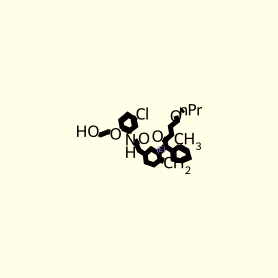 C=C1CCC(CC(=O)Nc2cc(Cl)ccc2OCCO)C/C1=C(\C(=O)CCCOCCC)c1ccccc1C